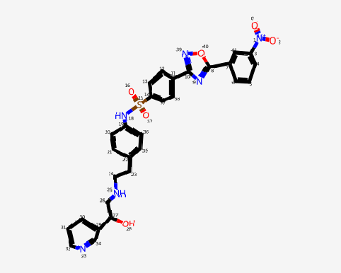 O=[N+]([O-])c1cccc(-c2nc(-c3ccc(S(=O)(=O)Nc4ccc(CCNCC(O)c5cccnc5)cc4)cc3)no2)c1